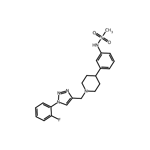 CS(=O)(=O)Nc1cccc(C2CCN(Cc3cn(-c4ccccc4F)nn3)CC2)c1